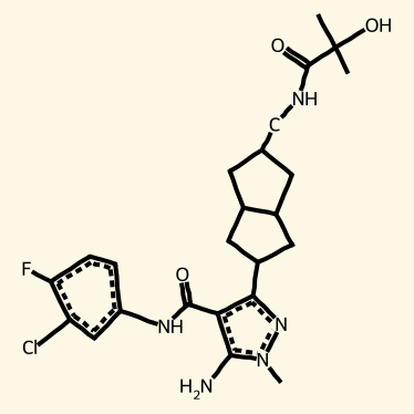 Cn1nc(C2CC3CC(CNC(=O)C(C)(C)O)CC3C2)c(C(=O)Nc2ccc(F)c(Cl)c2)c1N